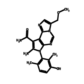 COCc1cnc2c3c(C(N)=O)c(N)n(-c4c(C)ccc(O)c4C)c3ncn12